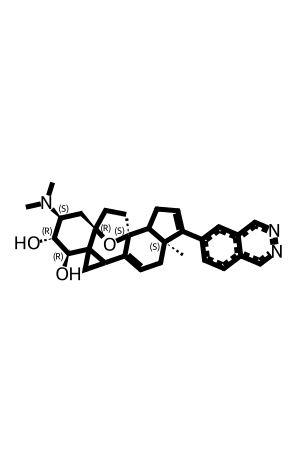 CN(C)[C@H]1C[C@@]23CC[C@@]4(O2)C(=CC[C@]2(C)C(c5ccc6cnncc6c5)=CCC24)C2CC23[C@@H](O)[C@@H]1O